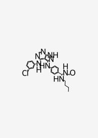 CCCCNC(NC=O)c1ccc(Nc2n[nH]c3ncnc(Nc4cccc(Cl)c4)c23)cc1